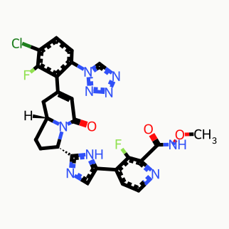 CONC(=O)c1nccc(-c2cnc([C@@H]3CC[C@@H]4CC(c5c(-n6cnnn6)ccc(Cl)c5F)=CC(=O)N43)[nH]2)c1F